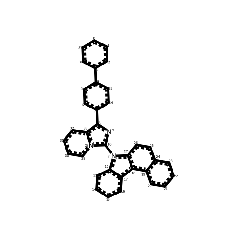 c1ccc(-c2ccc(-c3nc(-n4c5ccccc5c5c6ccccc6ccc54)n4ccccc34)cc2)cc1